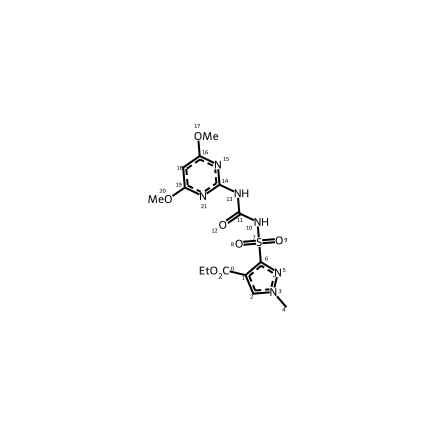 CCOC(=O)c1cn(C)nc1S(=O)(=O)NC(=O)Nc1nc(OC)cc(OC)n1